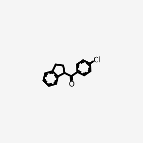 O=C(c1ccc(Cl)cc1)C1CCc2ccccc21